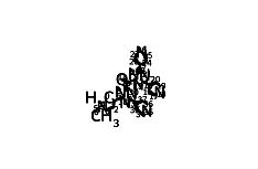 C=C(/C=C\N=C/C)c1nc(C(=O)c2nc(-c3ccncc3)nc(-c3ccncc3)n2)nc(-c2ccncc2)n1